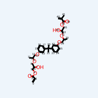 C=CC(=O)OCC(O)COC(C)COc1cccc(C(C)(C)c2cccc(OCC(C)OCC(O)COC(=O)C(=C)C)c2)c1